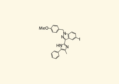 COc1ccc(Cn2nc(-c3nc(C)c(-c4ccccc4)[nH]3)c3cc(I)ccc32)cc1